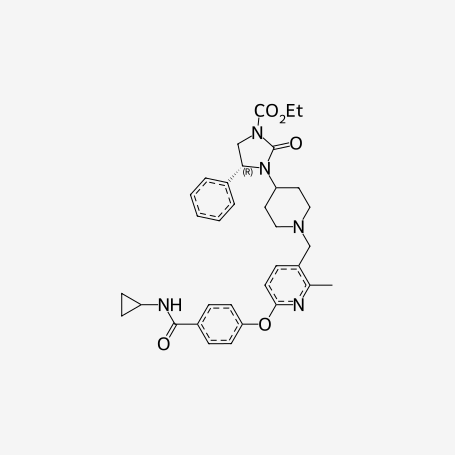 CCOC(=O)N1C[C@@H](c2ccccc2)N(C2CCN(Cc3ccc(Oc4ccc(C(=O)NC5CC5)cc4)nc3C)CC2)C1=O